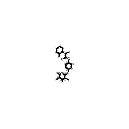 Cc1ccccc1N(C)C(=O)Oc1ccc(Oc2nc(F)c(F)c(F)c2C)cc1